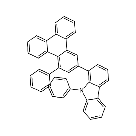 c1ccc(-c2cc(-c3cccc4c5ccccc5n(-c5ccccc5)c34)cc3c4ccccc4c4ccccc4c23)cc1